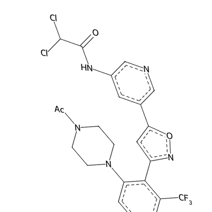 CC(=O)N1CCN(c2cccc(C(F)(F)F)c2-c2cc(-c3cncc(NC(=O)C(Cl)Cl)c3)on2)CC1